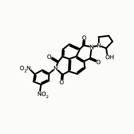 O=C1c2ccc3c4c(ccc(c24)C(=O)N1c1cc([N+](=O)[O-])cc([N+](=O)[O-])c1)C(=O)N(N1CCCC1O)C3=O